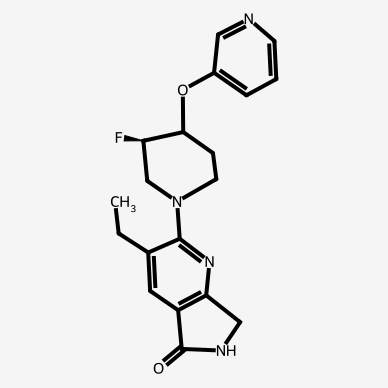 CCc1cc2c(nc1N1CCC(Oc3cccnc3)[C@H](F)C1)CNC2=O